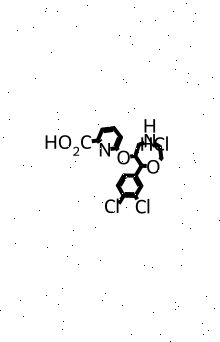 Cl.O=C(O)c1cccc(OC2CNCCOC2c2ccc(Cl)c(Cl)c2)n1